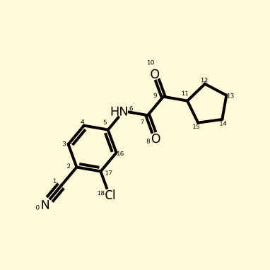 N#Cc1ccc(NC(=O)C(=O)C2CCCC2)cc1Cl